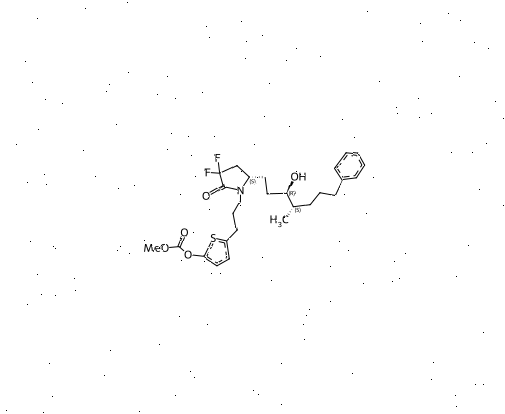 COC(=O)Oc1ccc(CCCN2C(=O)C(F)(F)C[C@@H]2CC[C@@H](O)[C@@H](C)CCCc2ccccc2)s1